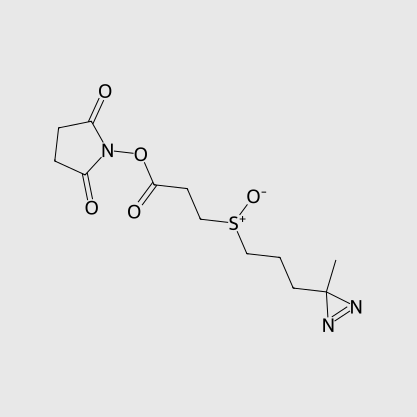 CC1(CCC[S+]([O-])CCC(=O)ON2C(=O)CCC2=O)N=N1